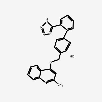 Cc1cc(OCc2ccc(-c3ccccc3-c3nnn[nH]3)cc2)c2ccccc2n1.Cl